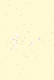 CNc1ccnc(Nc2ccc(CCN(C)CCN3CCCC3)c(C=O)c2)n1